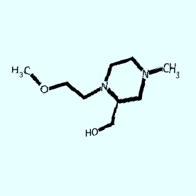 COCCN1CCN(C)C[C@H]1CO